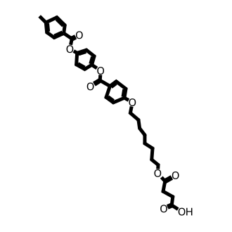 Cc1ccc(C(=O)Oc2ccc(OC(=O)c3ccc(OCCCCCCCCOC(=O)CCC(=O)O)cc3)cc2)cc1